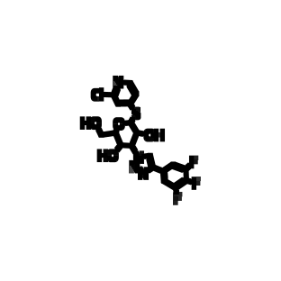 OCC1OC(Sc2ccnc(Cl)c2)C(O)C(n2cc(-c3cc(F)c(F)c(F)c3)nn2)C1O